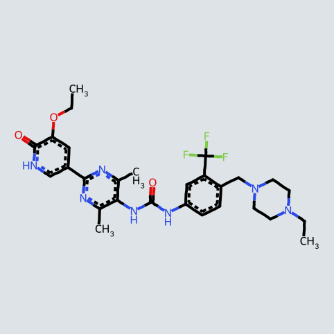 CCOc1cc(-c2nc(C)c(NC(=O)Nc3ccc(CN4CCN(CC)CC4)c(C(F)(F)F)c3)c(C)n2)c[nH]c1=O